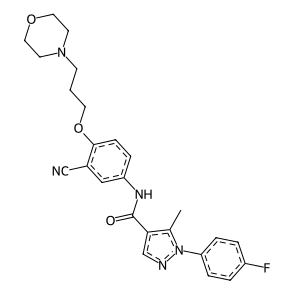 Cc1c(C(=O)Nc2ccc(OCCCN3CCOCC3)c(C#N)c2)cnn1-c1ccc(F)cc1